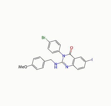 COc1ccc(CNc2nc3ccc(I)cc3c(=O)n2-c2ccc(Br)cc2)cc1